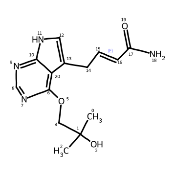 CC(C)(O)COc1ncnc2[nH]cc(C/C=C/C(N)=O)c12